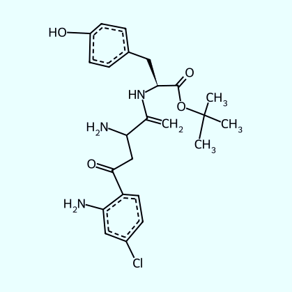 C=C(N[C@@H](Cc1ccc(O)cc1)C(=O)OC(C)(C)C)C(N)CC(=O)c1ccc(Cl)cc1N